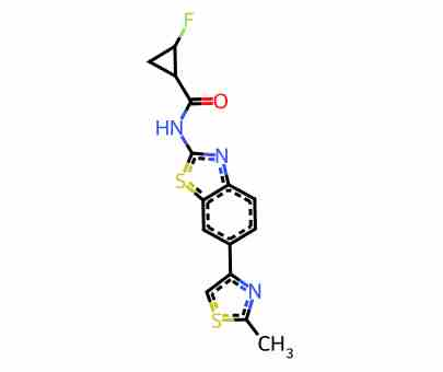 Cc1nc(-c2ccc3nc(NC(=O)C4CC4F)sc3c2)cs1